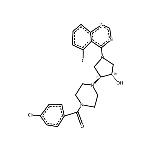 O=C(c1ccc(Cl)cc1)N1CCN([C@H]2CN(c3ncnc4cccc(Cl)c34)C[C@@H]2O)CC1